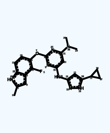 Cc1cc2c(F)c(Oc3nc(Nc4cc(C5CC5)[nH]n4)cc(N(C)C)n3)ccc2[nH]1